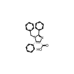 O=C(O)[C@H]1N=C(c2ccccc2)N(Cc2ccccc2)[C@H]1c1ccccc1